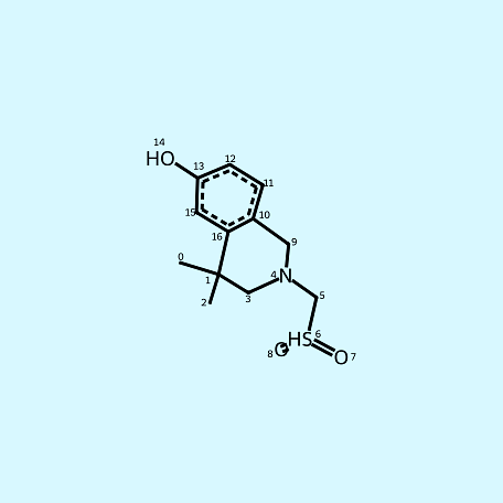 CC1(C)CN(C[SH](=O)=O)Cc2ccc(O)cc21